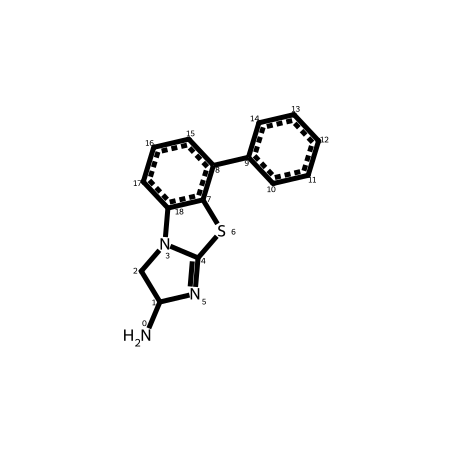 NC1CN2C(=N1)Sc1c(-c3ccccc3)cccc12